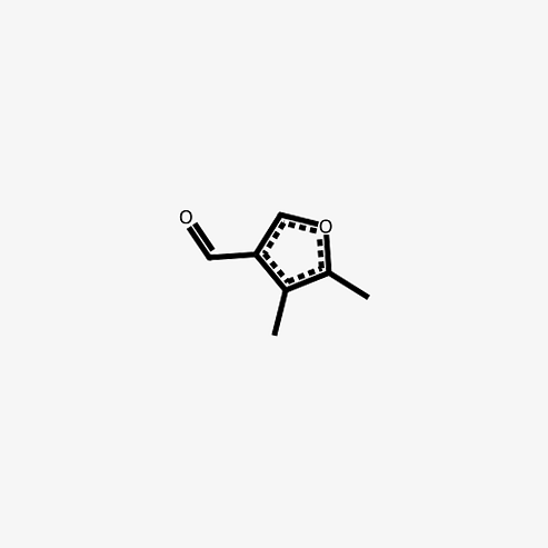 Cc1occ(C=O)c1C